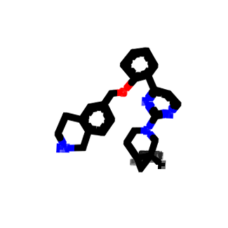 CCOC(=O)[C@@]12CCN(c3nccc(-c4ccccc4OCc4ccc5c(c4)CCNC5)n3)C[C@@H]1C2